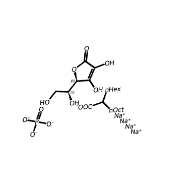 CCCCCCCCC(CCCCCC)C(=O)[O-].O=C1O[C@H]([C@@H](O)CO)C(O)=C1O.O=P([O-])([O-])[O-].[Na+].[Na+].[Na+].[Na+]